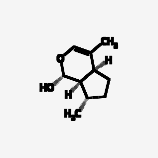 CC1=CO[C@@H](O)[C@H]2[C@@H]1CC[C@@H]2C